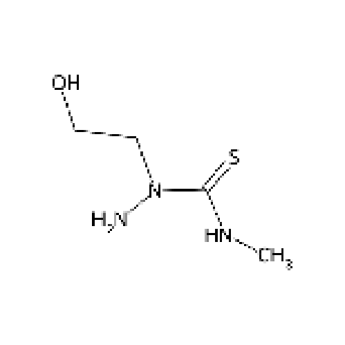 CNC(=S)N(N)CCO